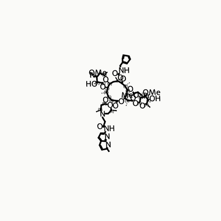 CON=C1C[C@@H](C)O[C@@H](O[C@@H]2[C@@H](C)[C@H](O[C@H]3C[C@H](C)N(CCC(=O)Nc4ccc5ccc(C)nc5n4)C[C@H](C)O3)[C@@H](C)C(=O)O[C@H]([C@@H](C)CO[C@@H]3O[C@H](C)[C@@H](O)[C@@H](OC)[C@H]3OC)[C@H](C)[C@@H](OC(=O)CC(C)C)[C@@H](C)C(=O)[C@@](C)(OC(=O)NCc3ccccc3)C[C@@H]2C)[C@@H]1O